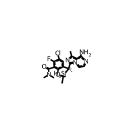 Cc1nc([C@@](C)([SiH3])c2cc(Cl)c(F)c(C(=O)N(C)C)c2OC(C)C)n2ccnc(N)c12